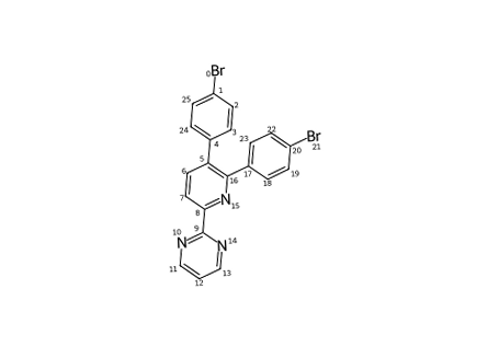 Brc1ccc(-c2ccc(-c3ncccn3)nc2-c2ccc(Br)cc2)cc1